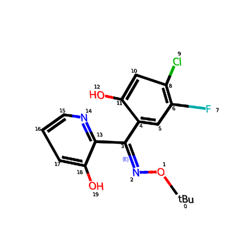 CC(C)(C)O/N=C(\c1cc(F)c(Cl)cc1O)c1ncccc1O